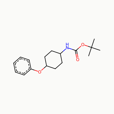 CC(C)(C)OC(=O)NC1CCC(Oc2ccccc2)CC1